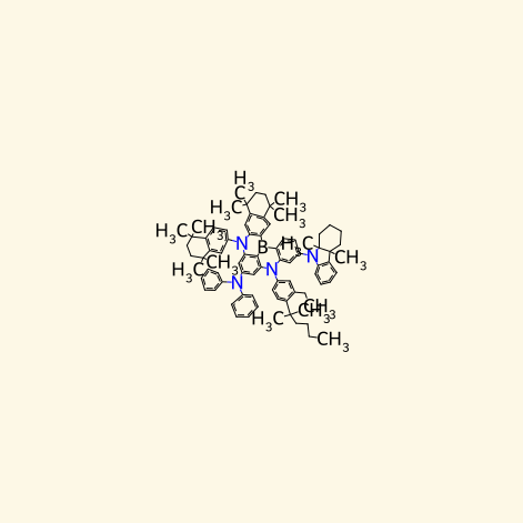 CCCCC(C)(C)c1ccc(N2c3cc(N4c5ccccc5C5(C)CCCCC45C)ccc3B3c4cc5c(cc4N(c4ccc6c(c4)C(C)(C)CCC6(C)C)c4cc(N(c6ccccc6)c6ccccc6)cc2c43)C(C)(C)CCC5(C)C)cc1CC